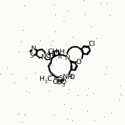 CO[C@@]1(CN2CCc3ncsc3C2)/C=C/C[C@H](C)[C@@H](C)S(=O)(=O)NC(=O)c2ccc3c(c2)N(CCCCc2cc(Cl)ccc2CO3)C[C@@H]2CC[C@H]21